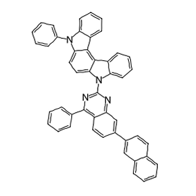 c1ccc(-c2nc(-n3c4ccccc4c4c5c6ccccc6n(-c6ccccc6)c5ccc43)nc3cc(-c4ccc5ccccc5c4)ccc23)cc1